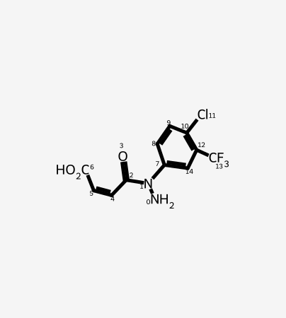 NN(C(=O)/C=C\C(=O)O)c1ccc(Cl)c(C(F)(F)F)c1